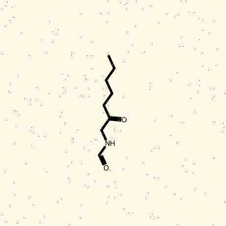 CCCCCC(=O)CNC=O